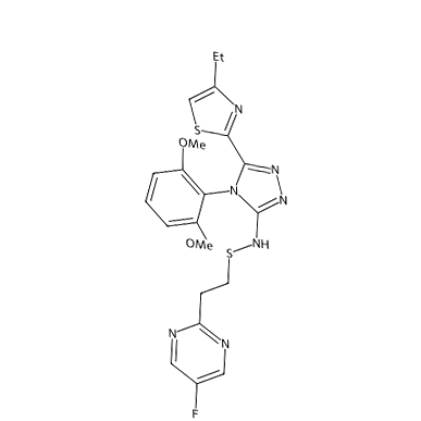 CCc1csc(-c2nnc(NSCCc3ncc(F)cn3)n2-c2c(OC)cccc2OC)n1